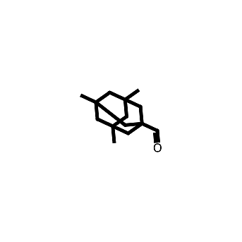 CC12CC3(C)CC(C)(C1)CC(C=O)(C2)C3